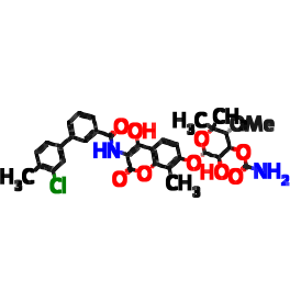 CO[C@@H]1[C@@H](OC(N)=O)[C@@H](O)[C@H](Oc2ccc3c(O)c(NC(=O)c4cccc(-c5ccc(C)c(Cl)c5)c4)c(=O)oc3c2C)OC1(C)C